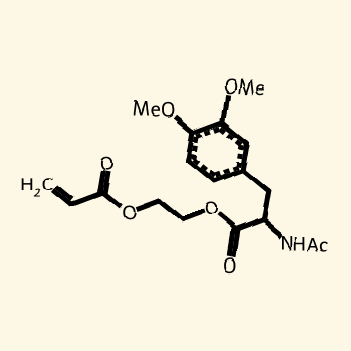 C=CC(=O)OCCOC(=O)C(Cc1ccc(OC)c(OC)c1)NC(C)=O